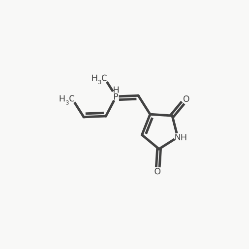 C/C=C\[PH](C)=C/C1=CC(=O)NC1=O